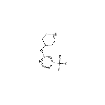 FC(F)(F)c1ccnc(OC2CCNCC2)c1